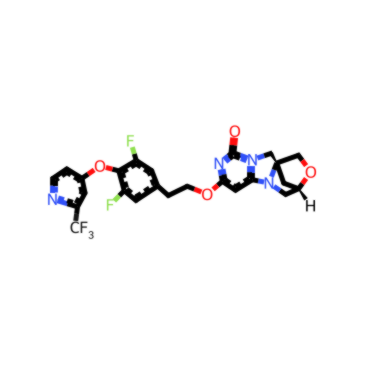 O=c1nc(OCCc2cc(F)c(Oc3ccnc(C(F)(F)F)c3)c(F)c2)cc2n1C[C@]13CO[C@H](CN21)C3